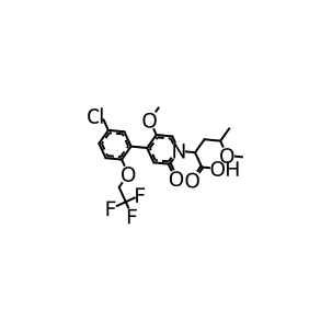 COc1cn(C(CC(C)OC)C(=O)O)c(=O)cc1-c1cc(Cl)ccc1OCC(F)(F)F